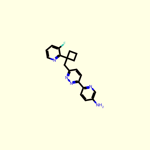 Nc1ccc(-c2ccc([CH]C3(c4ncccc4F)CCC3)nn2)nc1